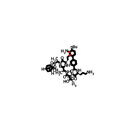 CCCCc1ccc(-c2ccc(C(=O)N[C@@H](CCCN)C(=O)N[C@H](C(=O)N[C@@H](C)C(=O)N[C@@H](CCCCN)C(=O)N[C@@H](C)B3OC4C[C@@H]5C[C@@H](C5(C)C)[C@]4(C)O3)C(C)O)cc2)cc1